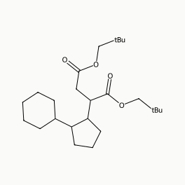 CC(C)(C)COC(=O)CC(C(=O)OCC(C)(C)C)C1CCCC1C1CCCCC1